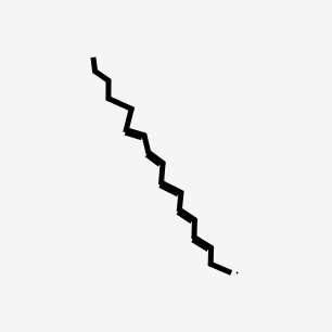 [CH2]CC=CC=CC=CC=CC=CCCCCC